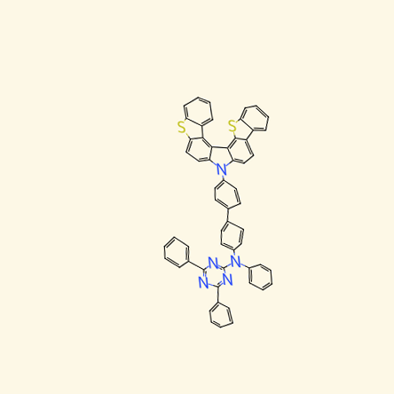 c1ccc(-c2nc(-c3ccccc3)nc(N(c3ccccc3)c3ccc(-c4ccc(-n5c6ccc7c8ccccc8sc7c6c6c7c(ccc65)sc5ccccc57)cc4)cc3)n2)cc1